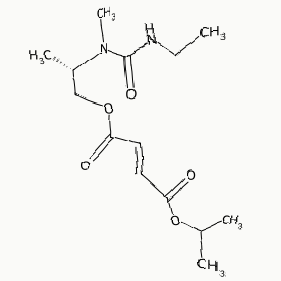 CCNC(=O)N(C)[C@@H](C)COC(=O)/C=C/C(=O)OC(C)C